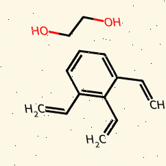 C=Cc1cccc(C=C)c1C=C.OCCO